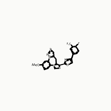 COc1ccc2c(c1)-n1nncc1Cc1c(-c3nc(-c4ccc(F)c(C(F)(F)F)c4)co3)ncn1-2